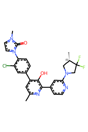 Cc1cc(-c2ccc(-n3ccn(C)c3=O)c(Cl)c2)c(O)c(-c2ccnc(N3C[C@H](C)C(F)(F)C3)c2)n1